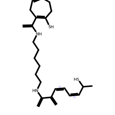 C=C(/C=C\C=C/C(C)S)C(=C)NCCCCCCNC(=C)C1=C(S)CCC=CC1